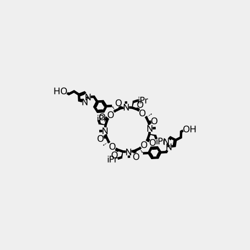 CC(C)C[C@H]1C(=O)O[C@H](Cc2cccc(Cn3cc(CCO)cn3)c2)C(=O)N(C)[C@@H](CC(C)C)C(=O)O[C@H](C)C(=O)N(C)[C@@H](CC(C)C)C(=O)O[C@H](Cc2ccc(Cn3cc(CCO)cn3)cc2)C(=O)N(C)[C@@H](CC(C)C)C(=O)O[C@H](C)C(=O)N1C